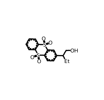 CCC(CO)c1ccc2c(c1)S(=O)(=O)c1ccccc1S2(=O)=O